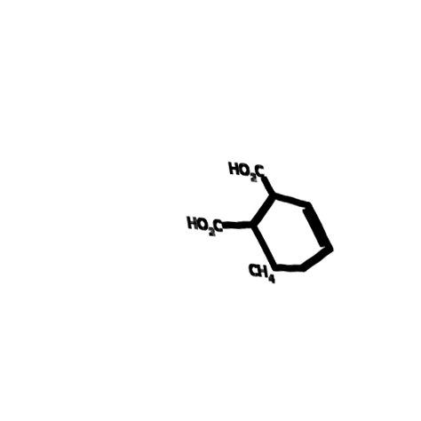 C.O=C(O)C1C=CCCC1C(=O)O